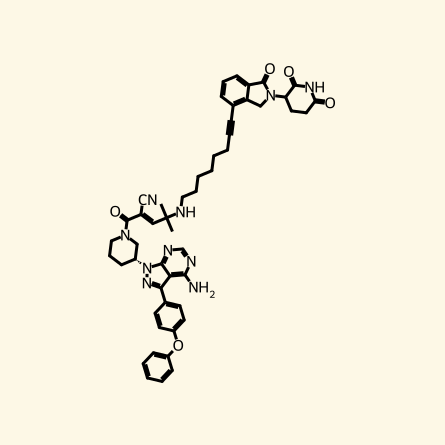 CC(C)(C=C(C#N)C(=O)N1CCC[C@@H](n2nc(-c3ccc(Oc4ccccc4)cc3)c3c(N)ncnc32)C1)NCCCCCCC#Cc1cccc2c1CN(C1CCC(=O)NC1=O)C2=O